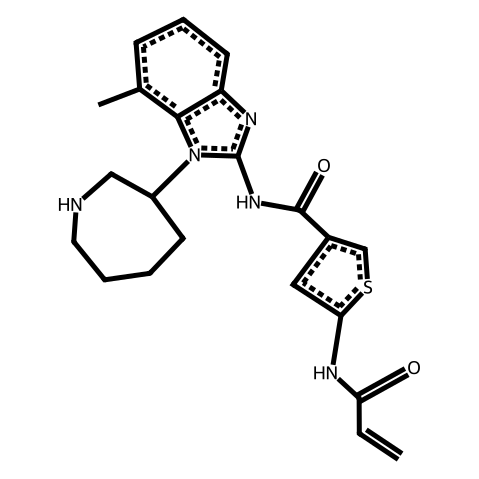 C=CC(=O)Nc1cc(C(=O)Nc2nc3cccc(C)c3n2C2CCCCNC2)cs1